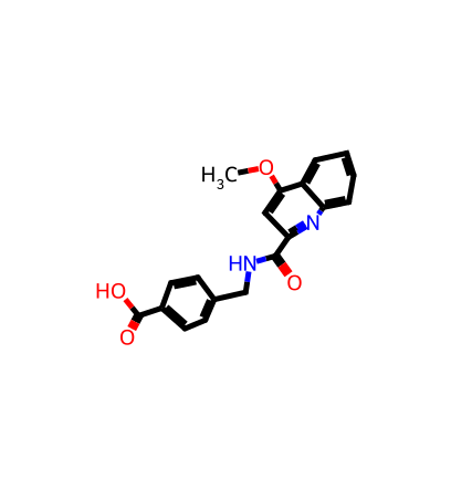 COc1cc(C(=O)NCc2ccc(C(=O)O)cc2)nc2ccccc12